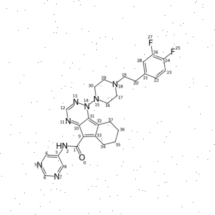 O=C(Nc1cncnc1)c1c2ncnn(N3CCN(CCc4ccc(F)c(F)c4)CC3)c-2c2c1CCCC2